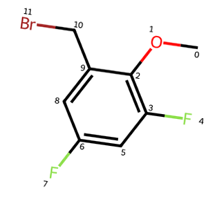 COc1c(F)cc(F)cc1CBr